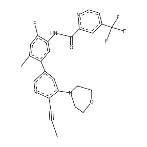 CC#Cc1ncc(-c2cc(NC(=O)c3cc(C(F)(F)F)ccn3)c(F)cc2C)cc1N1CCOCC1